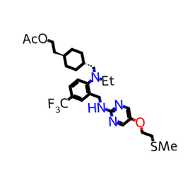 CCN(C[C@H]1CC[C@H](CCOC(C)=O)CC1)c1ccc(C(F)(F)F)cc1CNc1ncc(OCCSC)cn1